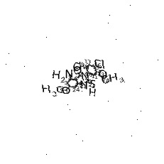 COc1cc(N)c2c(=O)n(-c3cc(OC)c(Cl)cc3Cl)c(S)nc2c1